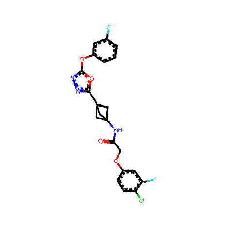 O=C(COc1ccc(Cl)c(F)c1)NC12CC(c3nnc(Oc4cccc(F)c4)o3)(C1)C2